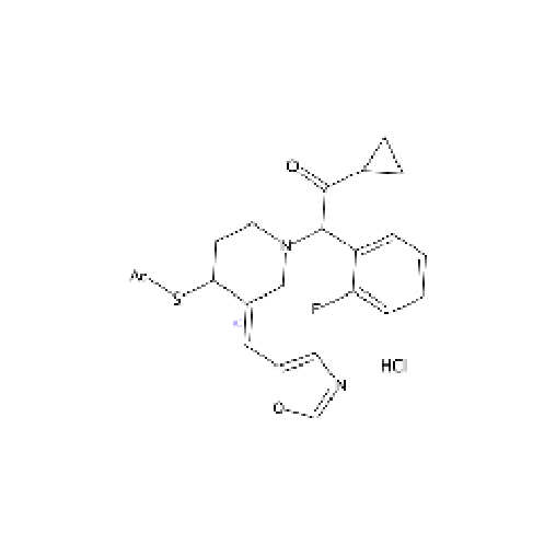 CC(=O)SC1CCN(C(C(=O)C2CC2)c2ccccc2F)C/C1=C\c1cnco1.Cl